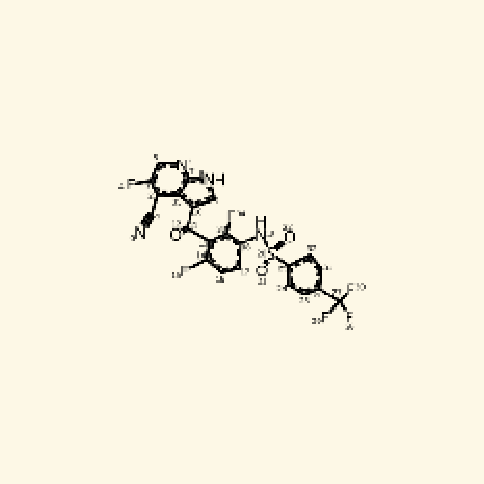 N#Cc1c(F)cnc2[nH]cc(C(=O)c3c(F)ccc(NS(=O)(=O)c4ccc(C(F)(F)F)cc4)c3F)c12